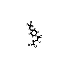 C[C@H](NC(=O)O)C(=O)N1CCN(CC(F)(F)F)CC1